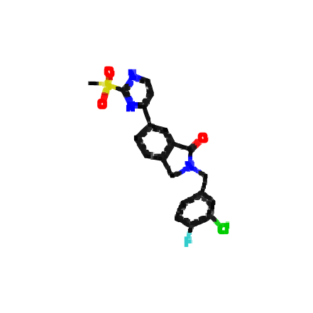 CS(=O)(=O)c1nccc(-c2ccc3c(c2)C(=O)N(Cc2ccc(F)c(Cl)c2)C3)n1